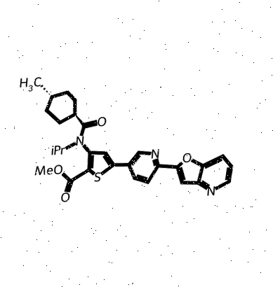 COC(=O)c1sc(-c2ccc(-c3cc4ncccc4o3)nc2)cc1N(C(=O)[C@H]1CC[C@H](C)CC1)C(C)C